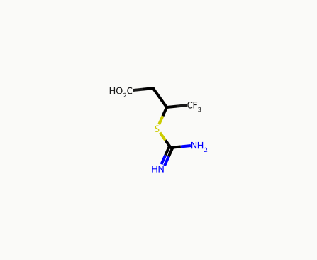 N=C(N)SC(CC(=O)O)C(F)(F)F